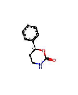 O=C1NCC[C@@H](c2ccccc2)O1